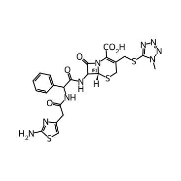 Cn1nnnc1SCC1=C(C(=O)O)N2C(=O)C(NC(=O)C(NC(=O)Cc3csc(N)n3)c3ccccc3)[C@H]2SC1